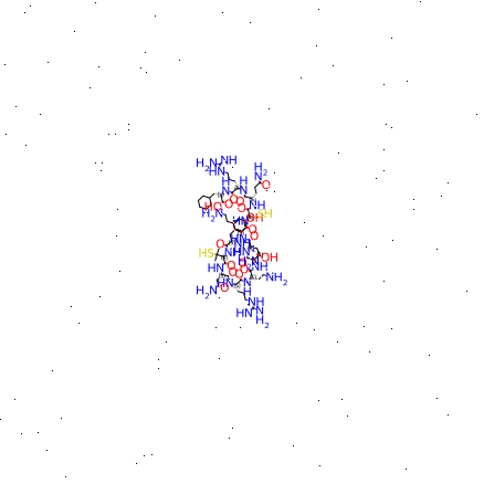 C[C@@H](O)[C@H](NC(=O)[C@H](CCN)NC(=O)[C@H](CCCNC(=N)N)NC(=O)[C@H](CC(N)=O)NC(=O)[C@@H](NC(=O)[C@@H](N)Cc1ccc(O)cc1)C(C)(C)S)C(=O)N[C@H](CCN)C(=O)N[C@@H](CCCCN)C(=O)N[C@@H](CS)C(=O)N[C@@H](CCC(N)=O)C(=O)N[C@@H](CCCNC(=N)N)C(=O)N[C@@H](CC1CCCCC1)C(=O)O